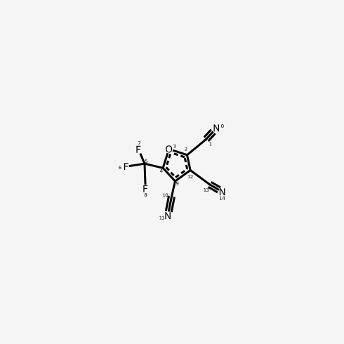 N#Cc1oc(C(F)(F)F)c(C#N)c1C#N